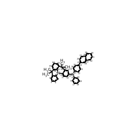 CC1(C)c2ccccc2N2c3ccc(N(c4ccccc4)c4ccc(-c5ccc6ccccc6c5)cc4)cc3C(C)(C)c3cccc1c32